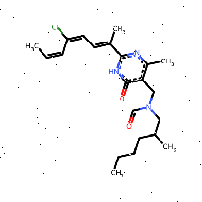 C\C=C/C(Cl)=C\C=C(/C)c1nc(C)c(CN(C=O)CC(C)CCCC)c(=O)[nH]1